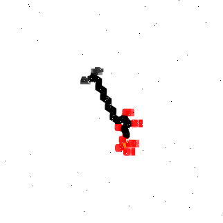 CCCC(CCCCCCCCC1OC(COP(=O)(O)O)C(O)C1O)C(C)=O